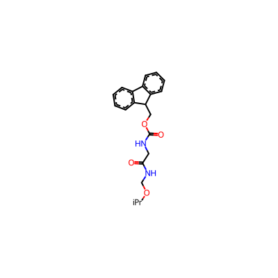 CC(C)OCNC(=O)CNC(=O)OCC1c2ccccc2-c2ccccc21